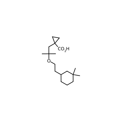 CC1(C)CCCC(CCOC(C)(C)CC2(C(=O)O)CC2)C1